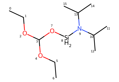 CCOC(OCC)O[SiH2]N(C(C)C)C(C)C